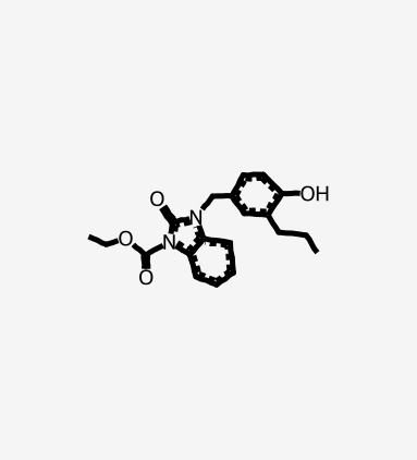 CCCc1cc(Cn2c(=O)n(C(=O)OCC)c3ccccc32)ccc1O